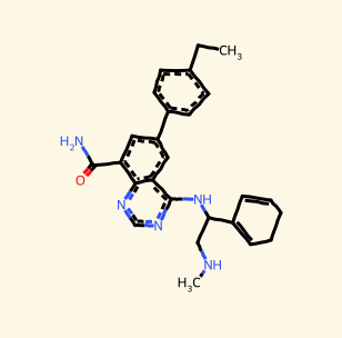 CCc1ccc(-c2cc(C(N)=O)c3ncnc(NC(CNC)C4=CCCC=C4)c3c2)cc1